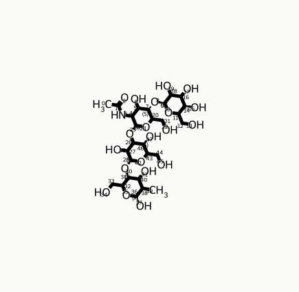 CC(=O)NC1C(O)[C@H](O[C@@H]2OC(CO)[C@H](O)C(O)C2O)C(CO)O[C@H]1OC1C(O)[C@H](O[C@@H]2C(CO)O[C@@H](O)C(C)C2O)OC(CO)[C@@H]1O